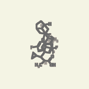 C[C@H](C(=O)O)C(c1ccc2c(c1)OC(C1C3CC[C@@H]1CN([C@@H](C)c1cc(F)ccc1C(F)(F)F)C3)CC2)C1CC1